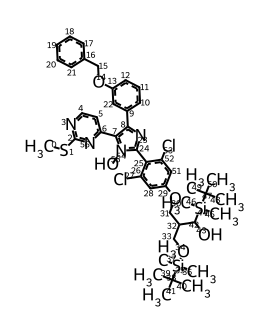 CSc1nccc(-c2c(-c3cccc(OCc4ccccc4)c3)nc(-c3c(Cl)cc(OCC(CO[Si](C)(C)C(C)(C)C)C(O)[Si](C)(C)C(C)(C)C)cc3Cl)n2O)n1